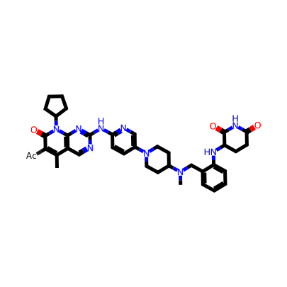 CC(=O)c1c(C)c2cnc(Nc3ccc(N4CCC(N(C)Cc5ccccc5NC5CCC(=O)NC5=O)CC4)cn3)nc2n(C2CCCC2)c1=O